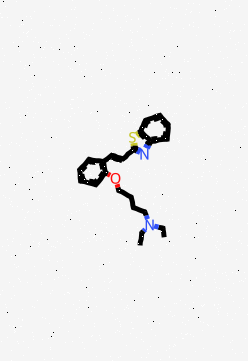 CCN(CC)CCCCOc1ccccc1C=Cc1nc2ccccc2s1